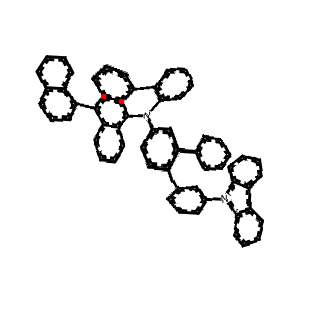 c1ccc(-c2cc(N(c3ccccc3-c3ccccc3)c3ccc(-c4cccc5ccccc45)c4ccccc34)ccc2-c2cccc(-n3c4ccccc4c4ccccc43)c2)cc1